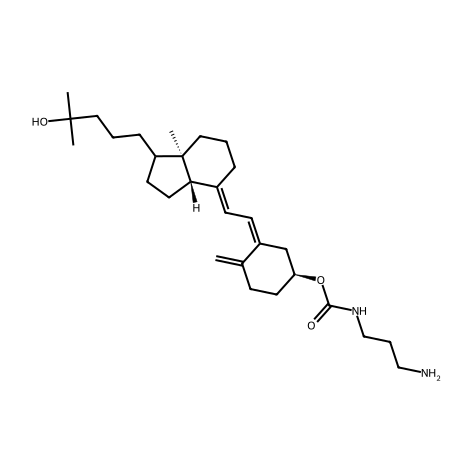 C=C1CC[C@H](OC(=O)NCCCN)C/C1=C/C=C1\CCC[C@]2(C)C(CCCC(C)(C)O)CC[C@@H]12